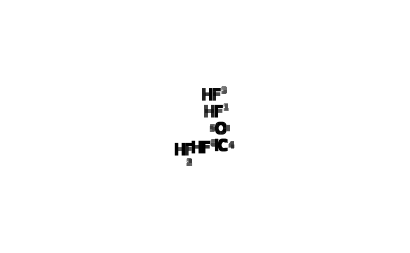 F.F.F.F.[C].[O]